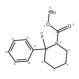 CC(C)(C)OC(=O)N1CCCCC1(F)c1ccccc1